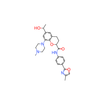 Cc1coc(-c2ccc(NC(=O)C3CCc4cc(C(C)O)cc(N5CCN(C)CC5)c4O3)cc2)n1